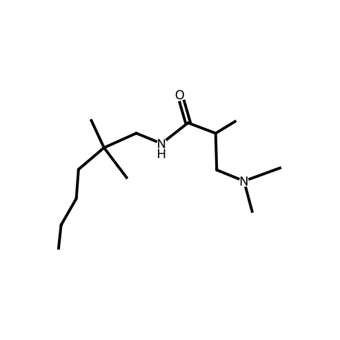 CCCCC(C)(C)CNC(=O)C(C)CN(C)C